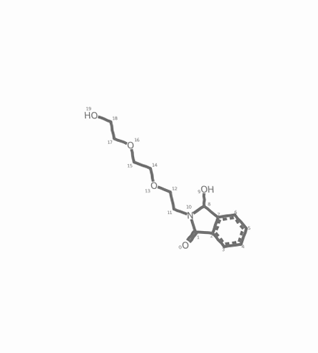 O=C1c2ccccc2C(O)N1CCOCCOCCO